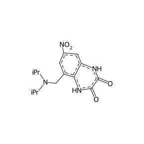 CC(C)N(Cc1cc([N+](=O)[O-])cc2[nH]c(=O)c(=O)[nH]c12)C(C)C